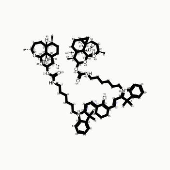 C[C@@H]1CC[C@@H]2[C@@H](C)CC[C@@H]3[C@H](C)C(OC(=O)NCCCCCCN4/C(=C/C=C5\CCCC(/C=C/C6=[N+](CCCCCCNC(=O)OC7O[C@H]8O[C@H](C)CC[C@]9%10C[C@]9(C)CC[C@H]([C@@H]7C)[C@]8%10O[O-])c7ccccc7C6(C)C)=C5Cl)C(C)(C)c5ccccc54)O[C@@H](O1)[C@@]32O